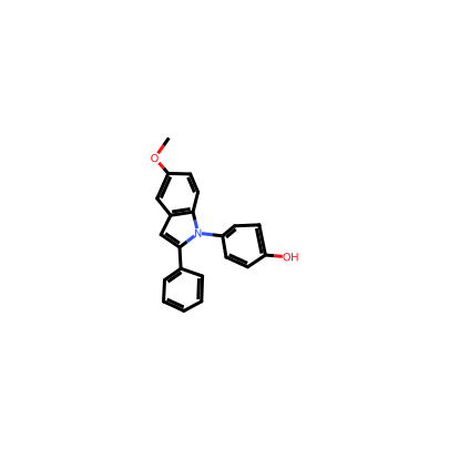 COc1ccc2c(c1)cc(-c1ccccc1)n2-c1ccc(O)cc1